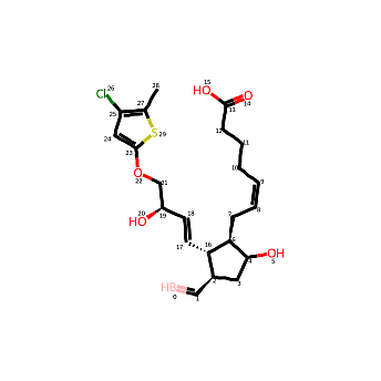 B=C[C@@H]1CC(O)[C@H](C/C=C\CCCC(=O)O)[C@H]1/C=C/[C@@H](O)COc1cc(Cl)c(C)s1